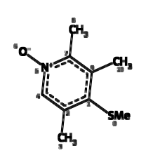 CSc1c(C)c[n+]([O-])c(C)c1C